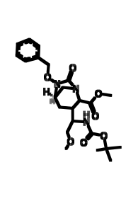 COCC(NC(=O)OC(C)(C)C)C1C[C@@H]2CN(C(=O)N2OCc2ccccc2)C1C(=O)OC